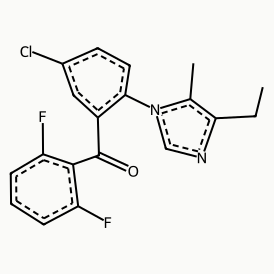 CCc1ncn(-c2ccc(Cl)cc2C(=O)c2c(F)cccc2F)c1C